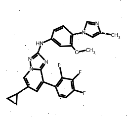 COc1cc(Nc2nc3c(-c4ccc(F)c(F)c4F)cc(C4CC4)cn3n2)ccc1-n1cnc(C)c1